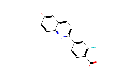 O=C(O)c1ccc(-c2ccc3cc(O)ccc3n2)cc1F